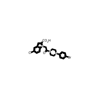 O=C(O)c1cc2cc(Cl)ccc2n1CC(=O)N1CCN(c2ccc(Br)cc2)CC1